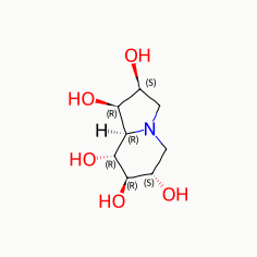 O[C@@H]1[C@@H]2[C@@H](O)[C@H](O)[C@@H](O)CN2C[C@@H]1O